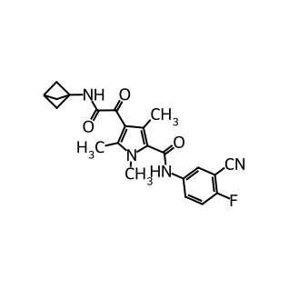 Cc1c(C(=O)C(=O)NC23CC(C2)C3)c(C)n(C)c1C(=O)Nc1ccc(F)c(C#N)c1